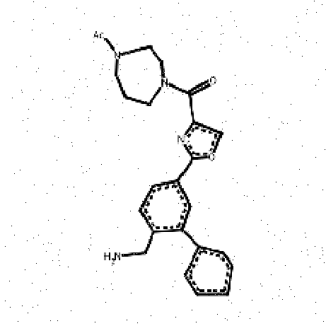 CC(=O)N1CCCN(C(=O)c2coc(-c3ccc(CN)c(-c4ccccc4)c3)n2)CC1